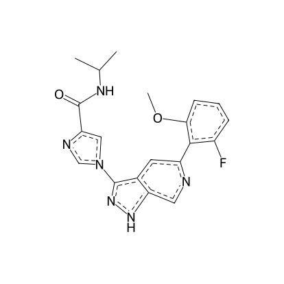 COc1cccc(F)c1-c1cc2c(-n3cnc(C(=O)NC(C)C)c3)n[nH]c2cn1